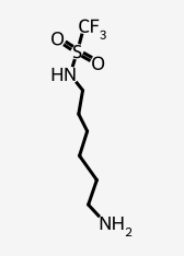 NCCCCCCNS(=O)(=O)C(F)(F)F